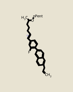 C=CCc1ccc2cc(-c3ccc(/C=C/CCCC(C)OCCCCC)cc3F)ccc2c1